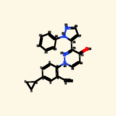 COc1cc(C2CC2)ccc1-n1ccc(=O)c(-c2ccnn2-c2ccccc2)n1